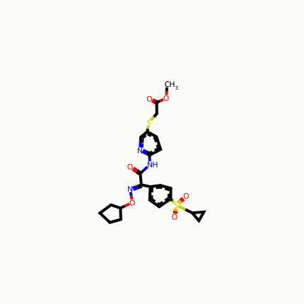 COC(=O)CSc1ccc(NC(=O)/C(=N/OC2CCCC2)c2ccc(S(=O)(=O)C3CC3)cc2)nc1